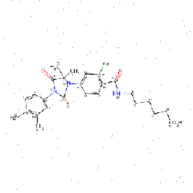 CC1(C)C(=O)N(c2ccc(C#N)c(C(F)(F)F)c2)C(=S)N1c1ccc(C(=O)NCCCCCC(=O)O)c(F)c1